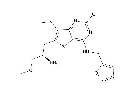 CCc1c(C[C@@H](N)COC)sc2c(NCc3ccco3)nc(Cl)nc12